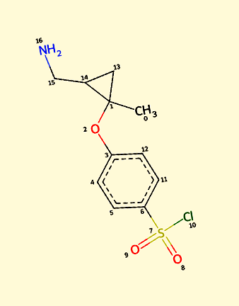 CC1(Oc2ccc(S(=O)(=O)Cl)cc2)CC1CN